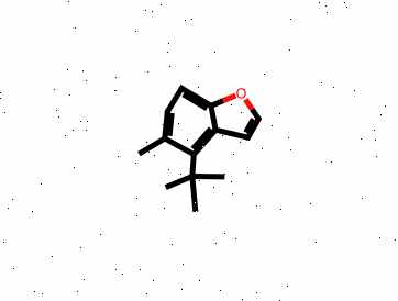 Cc1ccc2occc2c1C(C)(C)C